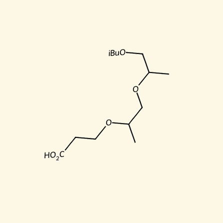 CC(C)COCC(C)OCC(C)OCCC(=O)O